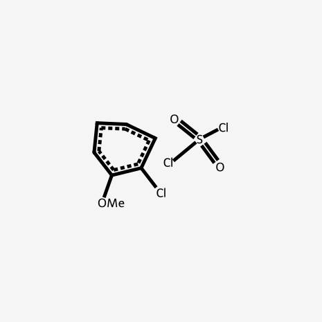 COc1ccccc1Cl.O=S(=O)(Cl)Cl